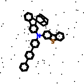 c1ccc(-c2ccc(-c3ccc(N(c4ccc5c(c4)C4(c6ccccc6-5)C5CC6CC(C5)CC4C6)c4ccc5c(c4)sc4ccccc45)cc3)cc2)cc1